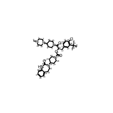 CN1CCN(C2CCN(C(=O)[C@@H](Cc3ccc(Cl)c(C(F)(F)F)c3)OC(=O)N3CCC(N4CCc5ccccc5NC4=O)CC3)CC2)CC1